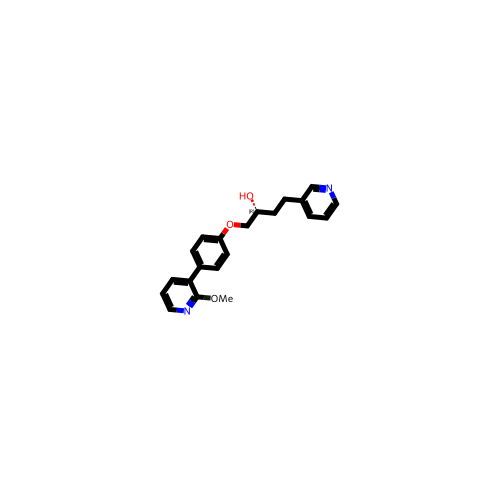 COc1ncccc1-c1ccc(OC[C@H](O)CCc2cccnc2)cc1